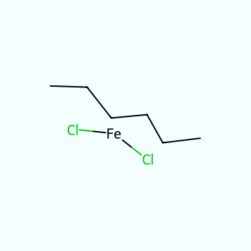 CCCCCC.[Cl][Fe][Cl]